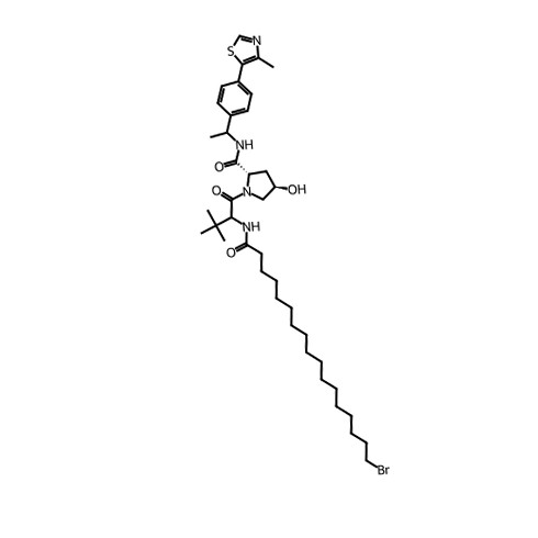 Cc1ncsc1-c1ccc(C(C)NC(=O)[C@@H]2C[C@@H](O)CN2C(=O)C(NC(=O)CCCCCCCCCCCCCCCCBr)C(C)(C)C)cc1